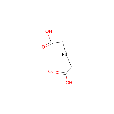 O=C(O)[CH2][Pd][CH2]C(=O)O